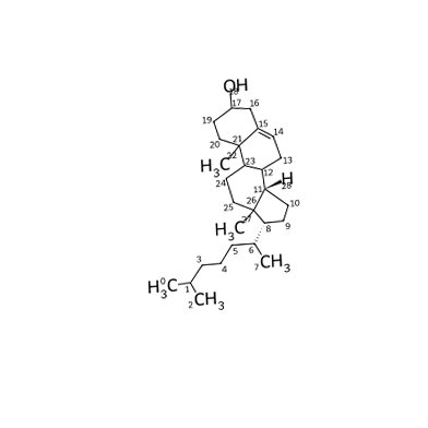 CC(C)CCCC(C)[C@H]1CC[C@H]2C3CC=C4CC(O)CCC4(C)C3CCC12C